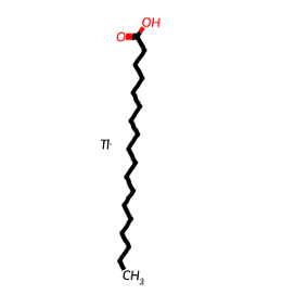 CCCCCCCCCCCCCCCCCC(=O)O.[Tl]